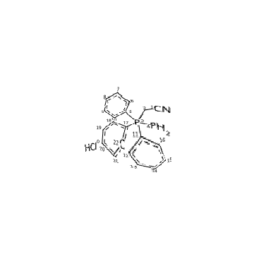 Cl.N#CCP(P)(c1ccccc1)(c1ccccc1)c1ccccc1